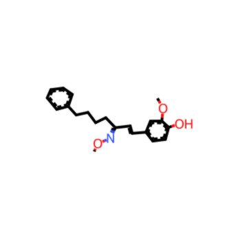 CON=C(/C=C/c1ccc(O)c(OC)c1)CCCCc1ccccc1